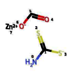 NC(=S)[S-].O=C[O-].[Zn+2]